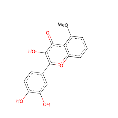 COc1cccc2oc(-c3ccc(O)c(O)c3)c(O)c(=O)c12